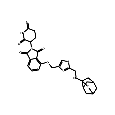 O=C1CCC(N2C(=O)c3cccc(OCc4csc(CNC56CC7CC(CC5C7)C6)n4)c3C2=O)C(=O)N1